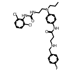 CCCN(CCNC(=O)Nc1c(Cl)cccc1Cl)c1ccc(NC(=O)CCNCc2ccc(F)cc2)cc1